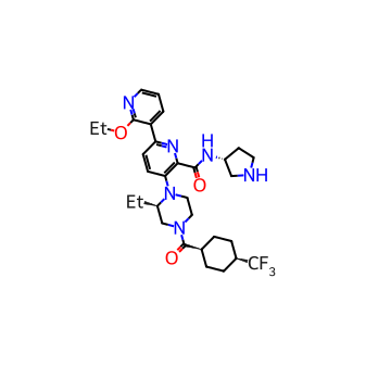 CCOc1ncccc1-c1ccc(N2CCN(C(=O)[C@H]3CC[C@@H](C(F)(F)F)CC3)C[C@H]2CC)c(C(=O)N[C@@H]2CCNC2)n1